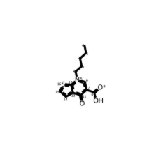 CCCCCn1cc(C(=O)O)c(=O)c2ccsc21